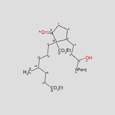 CCCCCC(O)CCC1CCC(=O)C1(CCCC(C)CCC(=O)OCC)C(=O)OCC